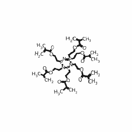 C=C(C)C(=O)OCCN1P(CCOC(=O)C(=C)C)N=P(CCOC(=O)C(=C)C)(CCOC(=O)C(=C)C)N(CCOC(=O)C(=C)C)P1CCOC(=O)C(=C)C